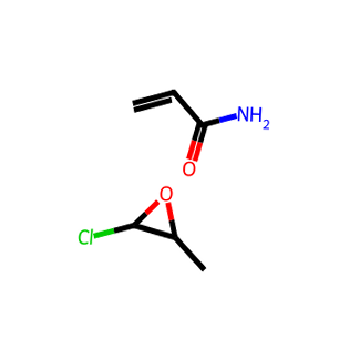 C=CC(N)=O.CC1OC1Cl